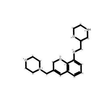 C1=C(CN2CCOCC2)COc2c1cccc2OCC1CNCCO1